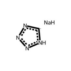 [NaH].[c]1nnn[nH]1